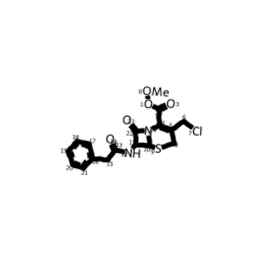 COOC(=O)C1=C(CCl)CSC2C(NC(=O)Cc3ccccc3)C(=O)N12